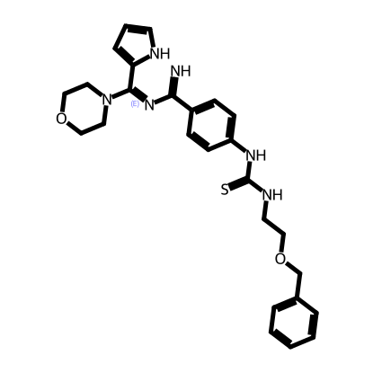 N=C(/N=C(\c1ccc[nH]1)N1CCOCC1)c1ccc(NC(=S)NCCOCc2ccccc2)cc1